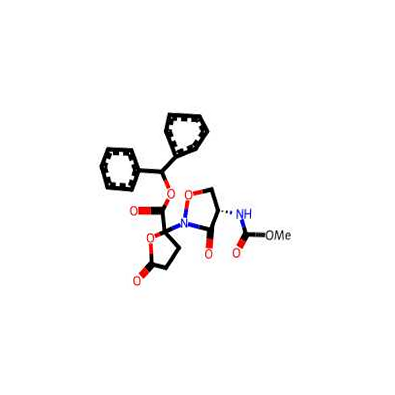 COC(=O)N[C@H]1CON(C2(C(=O)OC(c3ccccc3)c3ccccc3)CCC(=O)O2)C1=O